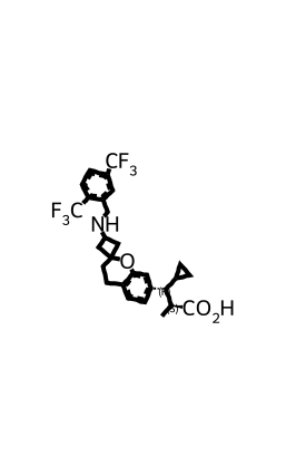 C[C@H](C(=O)O)[C@H](c1ccc2c(c1)OC1(CC2)CC(NCc2cc(C(F)(F)F)ccc2C(F)(F)F)C1)C1CC1